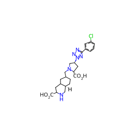 O=C(O)C1CC2CC(CN3C[C@@H](n4nnc(-c5cccc(Cl)c5)n4)C[C@H]3C(=O)O)CC[C@H]2CN1